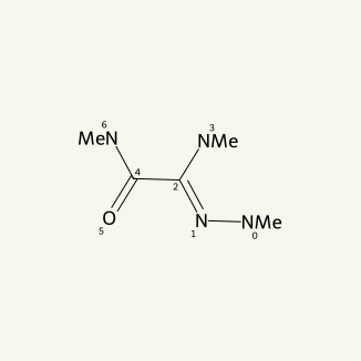 CN/N=C(\NC)C(=O)NC